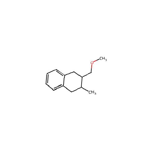 COCC1Cc2ccccc2CC1C